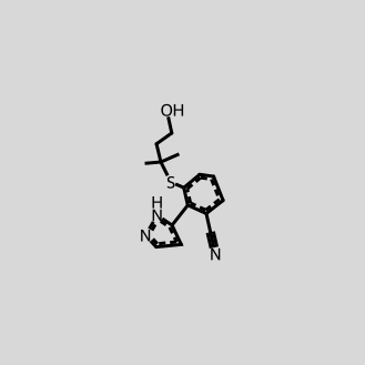 CC(C)(CCO)Sc1cccc(C#N)c1-c1ccn[nH]1